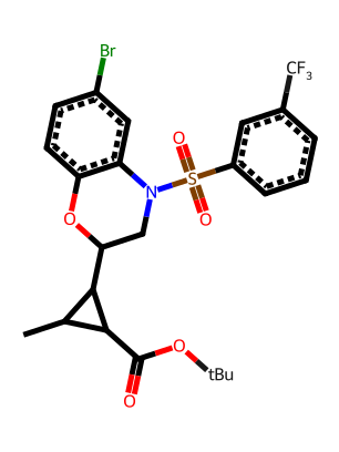 CC1C(C(=O)OC(C)(C)C)C1C1CN(S(=O)(=O)c2cccc(C(F)(F)F)c2)c2cc(Br)ccc2O1